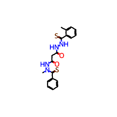 Cc1ccccc1C(=S)NNC(=O)CC(=O)NN(C)C(=S)c1ccccc1